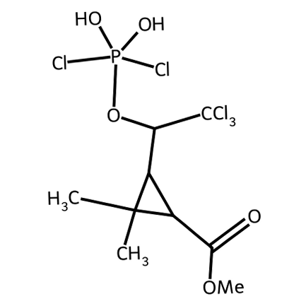 COC(=O)C1C(C(OP(O)(O)(Cl)Cl)C(Cl)(Cl)Cl)C1(C)C